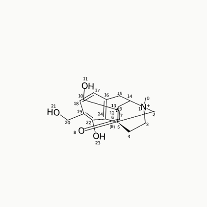 C[N+]1(C)CC[C@@]23CC(=O)C(CO)=CC2C1Cc1ccc(CO)c(O)c13